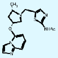 CC(=O)Nc1ncc(CN2C[C@H](Oc3cccc4nccn34)C[C@@H]2C)s1